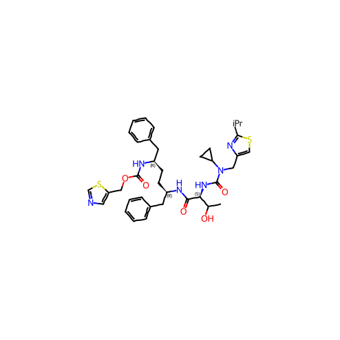 CC(C)c1nc(CN(C(=O)N[C@H](C(=O)N[C@H](CC[C@H](Cc2ccccc2)NC(=O)OCc2cncs2)Cc2ccccc2)C(C)O)C2CC2)cs1